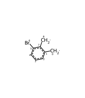 [CH2]c1cccc(Br)c1[CH2]